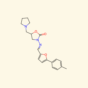 Cc1ccc(-c2ccc(C=NN3CC(CN4CCCC4)OC3=O)o2)cc1